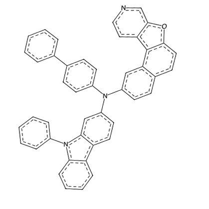 c1ccc(-c2ccc(N(c3ccc4ccc5oc6cnccc6c5c4c3)c3ccc4c5ccccc5n(-c5ccccc5)c4c3)cc2)cc1